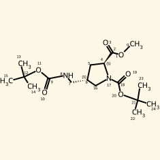 COC(=O)[C@@H]1C[C@@H](CNC(=O)OC(C)(C)C)CN1C(=O)OC(C)(C)C